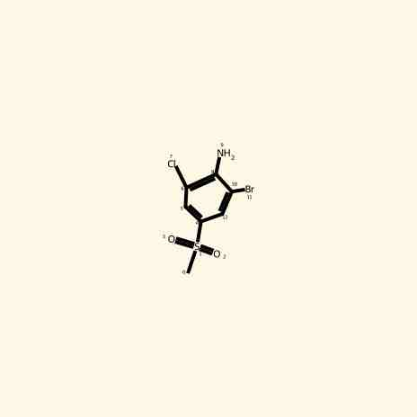 CS(=O)(=O)c1cc(Cl)c(N)c(Br)c1